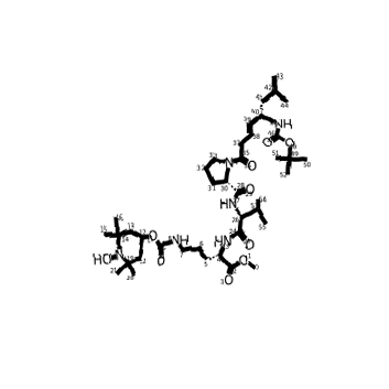 COC(=O)[C@H](CCCNC(=O)OC1CC(C)(C)N(O)C(C)(C)C1)NC(=O)[C@@H](NC(=O)[C@@H]1CCCN1C(=O)C/C=C/[C@H](CC(C)C)NC(=O)OC(C)(C)C)C(C)C